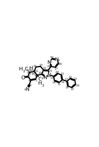 C[C@H]1C(=O)C(C#N)=C[C@@]2(C)c3nn(-c4ccc(-c5ccccc5)cc4)c(-c4ccncn4)c3CC[C@H]12